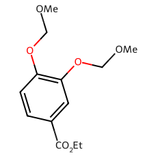 CCOC(=O)c1ccc(OCOC)c(OCOC)c1